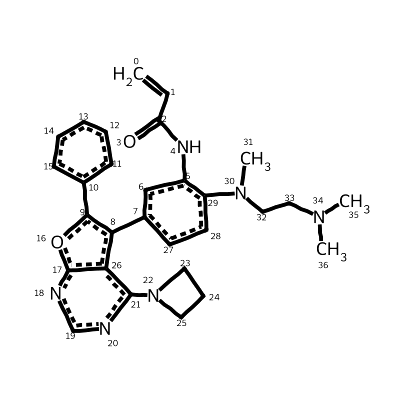 C=CC(=O)Nc1cc(-c2c(-c3ccccc3)oc3ncnc(N4CCC4)c23)ccc1N(C)CCN(C)C